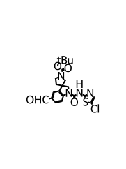 CC(C)(C)OC(=O)N1CCC2(C1)CN(C(=O)Nc1ncc(Cl)s1)c1ccc(C=O)cc12